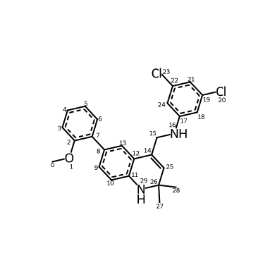 COc1ccccc1-c1ccc2c(c1)C(CNc1cc(Cl)cc(Cl)c1)=CC(C)(C)N2